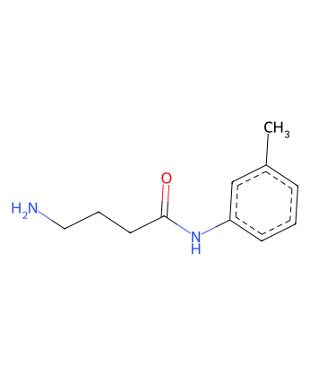 Cc1cccc(NC(=O)CCCN)c1